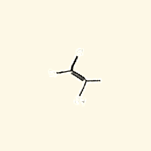 CCC(Cl)=C(C)O